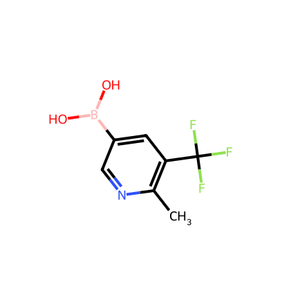 Cc1ncc(B(O)O)cc1C(F)(F)F